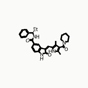 CC[C@H](NC(=O)c1ccc2c(c1)C(=Cc1[nH]c(C)c(C(=O)N3CCCCC3)c1C)C(=O)N2)c1ccccc1